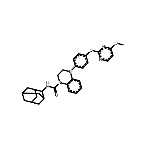 COc1ccnc(Oc2ccc(N3CCN(C(=O)NC4C5CC6CC(C5)CC4C6)c4ccccc43)cc2)n1